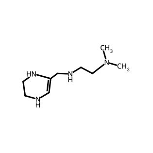 CN(C)CCNCC1=CNCCN1